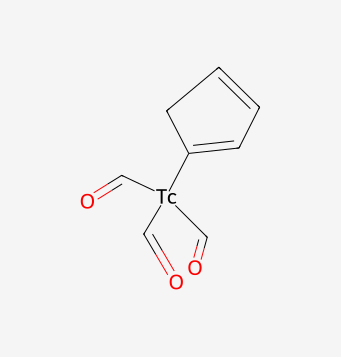 O=[CH][Tc]([CH]=O)([CH]=O)[C]1=CC=CC1